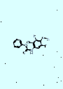 CCOc1c(F)cc(NC(=O)Oc2ccccc2)c(Cl)c1F